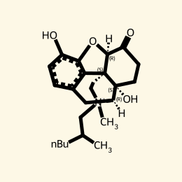 CCCCC(C)C[N+]1(C)CC[C@]23c4c5ccc(O)c4O[C@H]2C(=O)CC[C@@]3(O)[C@H]1C5